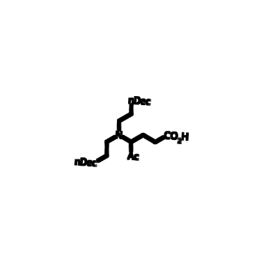 CCCCCCCCCCCCN(CCCCCCCCCCCC)C(CCC(=O)O)C(C)=O